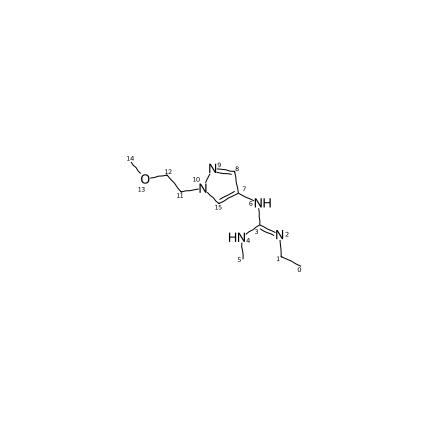 CC/N=C(\NC)Nc1cnn(CCOC)c1